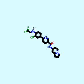 CC(=O)N(CC(F)F)c1ccc(-c2ccc(C(=O)Nc3ccn4cccc4c3)cn2)cc1Cl